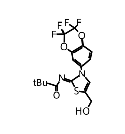 CC(C)(C)C(=O)/N=c1\sc(CO)cn1-c1ccc2c(c1)OC(F)(F)C(F)(F)O2